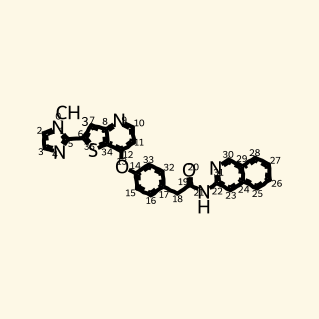 Cn1ccnc1-c1cc2nccc(Oc3ccc(CC(=O)Nc4cc5ccccc5cn4)cc3)c2s1